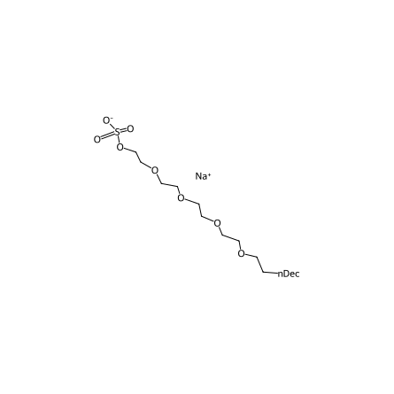 CCCCCCCCCCCCOCCOCCOCCOCCOS(=O)(=O)[O-].[Na+]